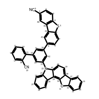 N#Cc1ccc2sc3ccc(-c4cc(-c5ccccc5C#N)cc(-n5c6ccccc6c6c7oc8ccccc8c7ccc65)c4)cc3c2c1